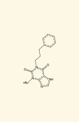 CCCCn1c(=O)n(CCCc2ccccc2)c(=O)c2[nH]cnc21